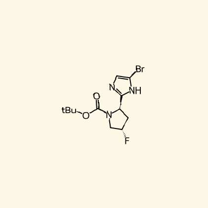 CC(C)(C)OC(=O)N1C[C@@H](F)C[C@@H]1c1ncc(Br)[nH]1